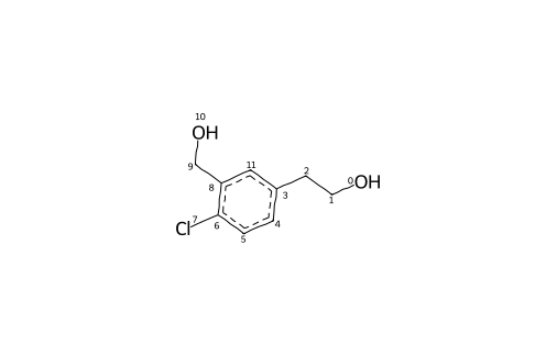 OCCc1ccc(Cl)c(CO)c1